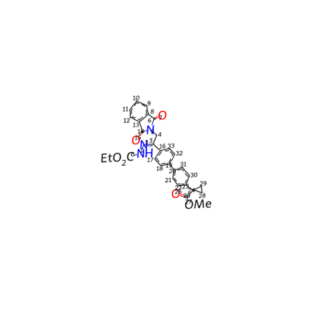 CCOC(=O)N/N=C(/CN1C(=O)c2ccccc2C1=O)c1ccc(-c2ccc(C3(C(=O)OC)CC3)cc2)cc1